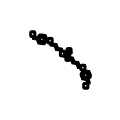 O=Cc1ccc(OCCCCO[N+](=O)OCCCCOc2ccc(C=O)cc2)cc1